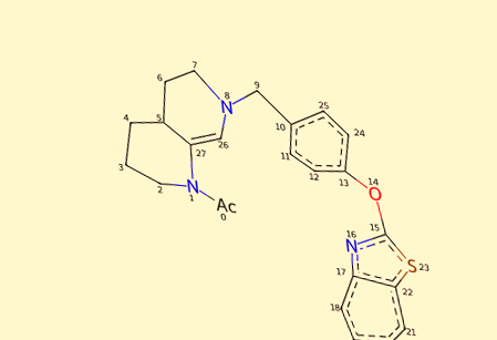 CC(=O)N1CCCC2CCN(Cc3ccc(Oc4nc5ccccc5s4)cc3)C=C21